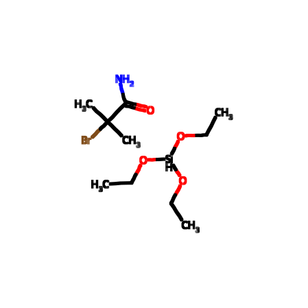 CC(C)(Br)C(N)=O.CCO[SiH](OCC)OCC